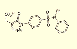 CCN(c1ccccc1)S(=O)(=O)c1ccc(-n2[nH]cc(CC(=O)O)c2=O)nc1